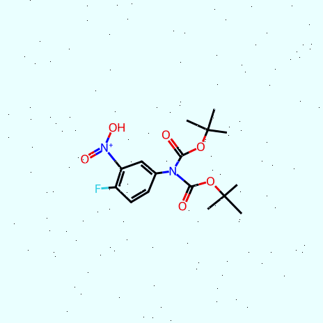 CC(C)(C)OC(=O)N(C(=O)OC(C)(C)C)c1ccc(F)c([N+](=O)O)c1